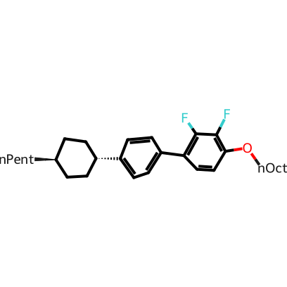 CCCCCCCCOc1ccc(-c2ccc([C@H]3CC[C@H](CCCCC)CC3)cc2)c(F)c1F